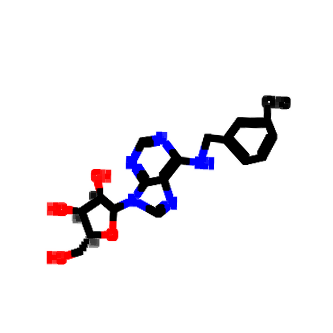 O=Cc1cccc(CNc2ncnc3c2ncn3C2O[C@H](CO)[C@@H](O)[C@H]2O)c1